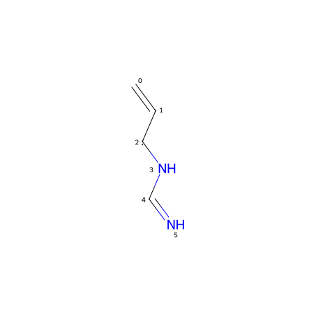 C=C[CH]NC=N